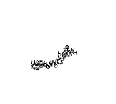 O=C(NC1CN(C(=O)COc2cccc([C@](O)(C(=O)O)c3ccccc3)c2)C1)c1ccc(CNC[C@H](O)c2ccc(O)c3[nH]c(=O)ccc23)cc1